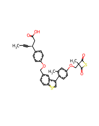 CC#C[C@@H](CC(=O)O)c1ccc(OCc2ccc3scc(-c4ccc(OCC5(C)C(=O)SC5=O)cc4C)c3c2)cc1